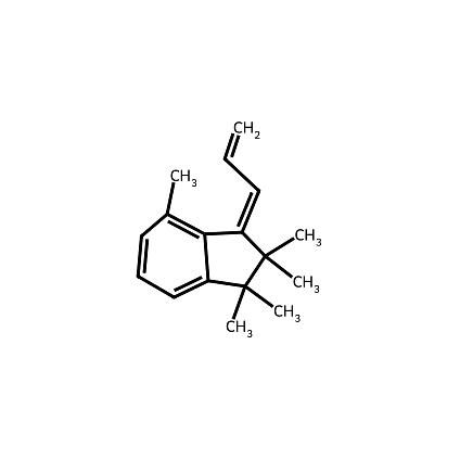 C=C/C=C1\c2c(C)cccc2C(C)(C)C1(C)C